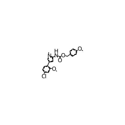 COc1ccc(COC(=O)Nc2cc(-c3ccc(Cl)cc3OC)cn2C)cc1